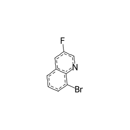 Fc1cnc2c(Br)cccc2c1